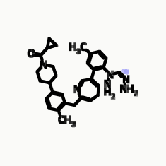 Cc1ccc(N(N)/C=N\N)c(C2=CCC=C(Cc3cc(C4CCN(C(=O)C5CC5)CC4)ccc3C)N=C2)c1